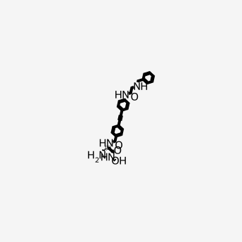 NC[C@H](NC(=O)c1ccc(C#Cc2ccc(NC(=O)CNCc3ccccc3)cc2)cc1)C(=O)NO